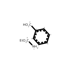 CCOC(N)=O.O=C(O)c1ccccc1